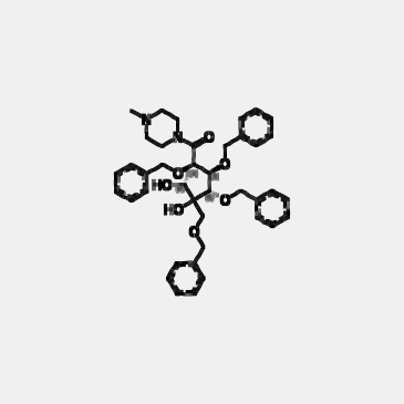 C[C@@H](O)C(O)(COCc1ccccc1)[C@@H](OCc1ccccc1)[C@H](OCc1ccccc1)[C@@H](OCc1ccccc1)C(=O)N1CCN(C)CC1